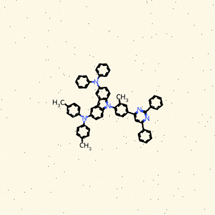 Cc1ccc(N(c2ccc(C)cc2)c2ccc3c(c2)c2cc(N(c4ccccc4)c4ccccc4)ccc2n3-c2ccc(-c3cc(-c4ccccc4)nc(-c4ccccc4)n3)cc2C)cc1